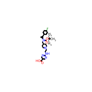 CC(C)(C)OC(=O)N(CC1CCN(CCNc2ncc(C(=O)O)cn2)CC1)C1CC1c1ccc(F)cc1